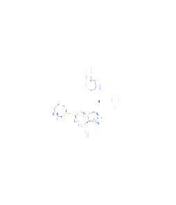 CCOC(=O)C(Cc1c[nH]cn1)c1nnc2c(C(C)C)nc(-c3cccnc3)cn12